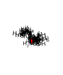 CCOC(C)(C)CCC(=O)N[C@H](CCC(=O)O)C(=O)N[C@H](CCC(=O)O)C(=O)N[C@H](CCC(=O)O)C(=O)N[C@H](CCC(=O)O)C(=O)N[C@H](CCC(=O)O)C(=O)N[C@H](CCCCN)C(=O)NCCOCC(=O)N1CCC[C@H]1C(=O)N[C@@H](CC(C)C)C(=O)NCC(=O)N[C@@H](CSC)C(=O)N[C@@H](C)C(=O)NC